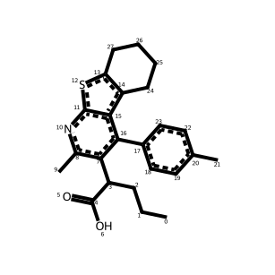 CCCC(C(=O)O)c1c(C)nc2sc3c(c2c1-c1ccc(C)cc1)CCCC3